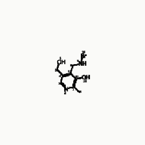 Cc1ncc(CO)c(CNBr)c1O